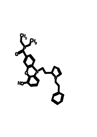 CCN(CC)C(=O)c1ccc2c(c1)Oc1c(O)cccc1N2CCC1CC=CN1CCc1ccccc1